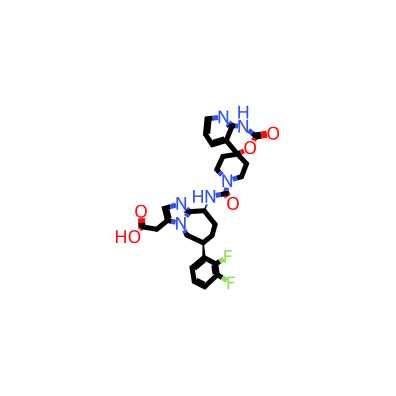 O=C(O)Cc1cnc2n1C[C@H](c1cccc(F)c1F)CC[C@H]2NC(=O)N1CCC2(CC1)OC(=O)Nc1ncccc12